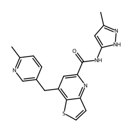 Cc1ccc(Cc2cc(C(=O)Nc3cc(C)n[nH]3)nc3ccsc23)cn1